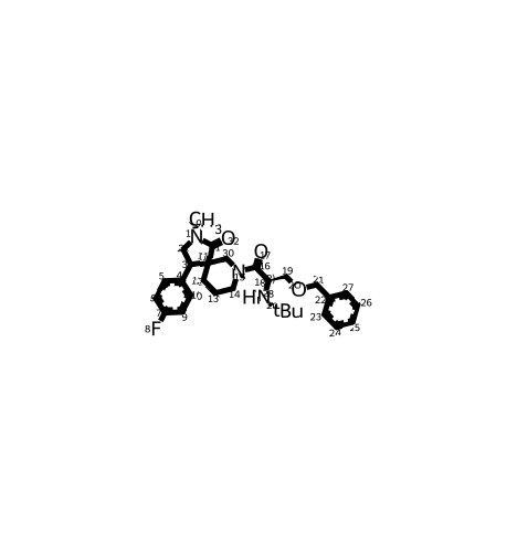 CN1CC(c2ccc(F)cc2)C2(CCCN(C(=O)[C@@H](COCc3ccccc3)NC(C)(C)C)C2)C1=O